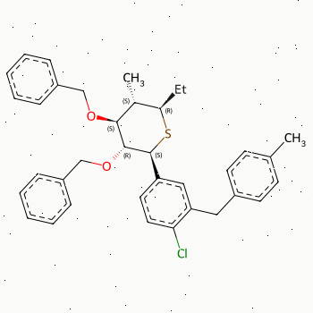 CC[C@H]1S[C@@H](c2ccc(Cl)c(Cc3ccc(C)cc3)c2)[C@H](OCc2ccccc2)[C@@H](OCc2ccccc2)[C@@H]1C